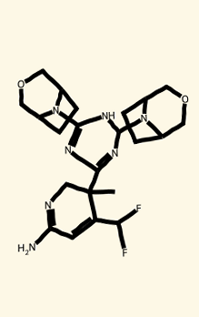 CC1(C2=NC(N3C4CCC3COC4)NC(N3C4CCC3COC4)=N2)CN=C(N)C=C1C(F)F